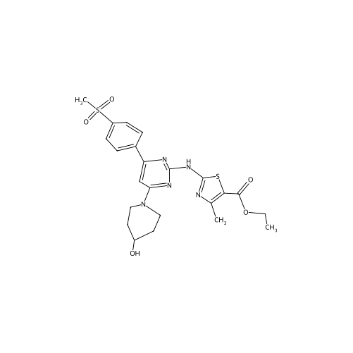 CCOC(=O)c1sc(Nc2nc(-c3ccc(S(C)(=O)=O)cc3)cc(N3CCC(O)CC3)n2)nc1C